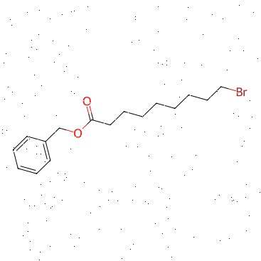 O=C(CCCCCCCCBr)OCc1ccccc1